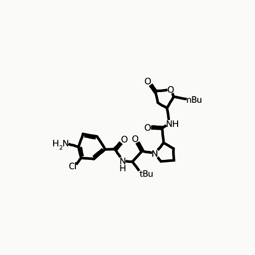 CCCCC1OC(=O)CC1NC(=O)C1CCCN1C(=O)C(NC(=O)c1ccc(N)c(Cl)c1)C(C)(C)C